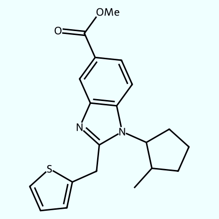 COC(=O)c1ccc2c(c1)nc(Cc1cccs1)n2C1CCCC1C